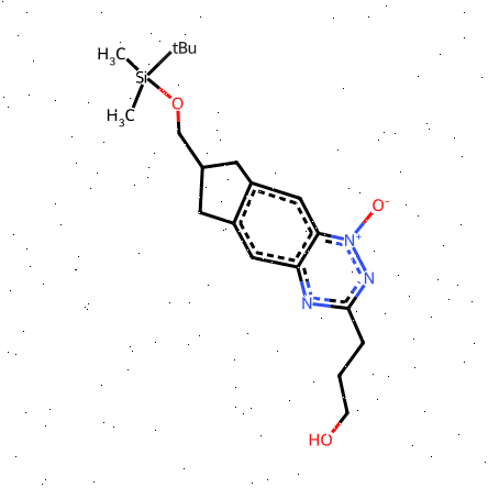 CC(C)(C)[Si](C)(C)OCC1Cc2cc3nc(CCCO)n[n+]([O-])c3cc2C1